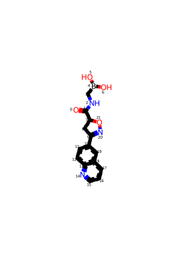 O=C(NCB(O)O)C1CC(c2ccc3ncccc3c2)=NO1